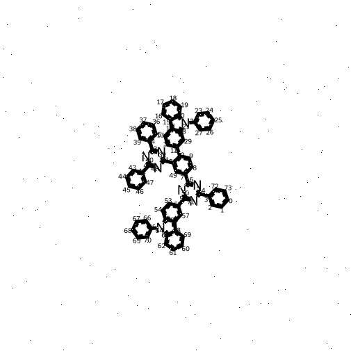 c1ccc(-c2nc(-c3ccc(-c4ccc5c6ccccc6n(-c6ccccc6)c5c4)c(-c4nc(-c5ccccc5)nc(-c5ccccc5)n4)c3)nc(-c3ccc4c(c3)c3ccccc3n4-c3ccccc3)n2)cc1